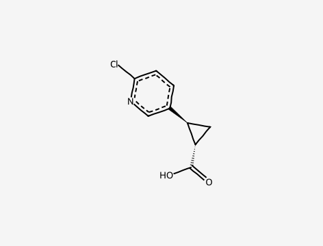 O=C(O)[C@H]1C[C@@H]1c1ccc(Cl)nc1